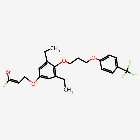 CCc1cc(OCC=C(F)Br)cc(CC)c1OCCCOc1ccc(C(F)(F)F)cc1